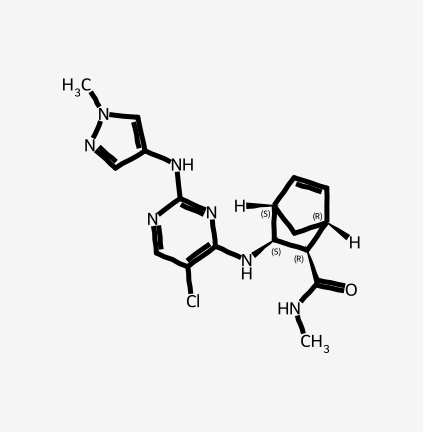 CNC(=O)[C@H]1[C@@H](Nc2nc(Nc3cnn(C)c3)ncc2Cl)[C@@H]2C=C[C@H]1C2